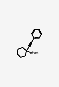 CCCCCC1(C#Cc2ccccc2)CCCCC1